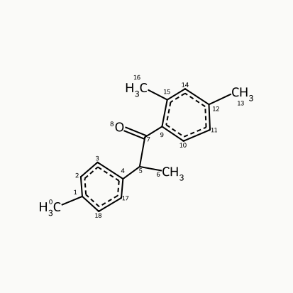 Cc1ccc(C(C)C(=O)c2ccc(C)cc2C)cc1